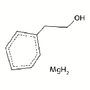 OCCc1ccccc1.[MgH2]